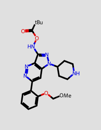 COCOc1ccccc1-c1cc2c(nn1)c(NOC(=O)C(C)(C)C)nn2C1CCNCC1